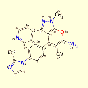 CCc1nccn1-c1ccc(C2C(C#N)=C(N)Oc3c2c(-c2ccncc2)nn3C)cc1